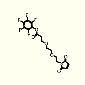 O=C(CCOCCOCCN1C(=O)C=CC1=O)Oc1c(F)c(F)c(F)c(F)c1F